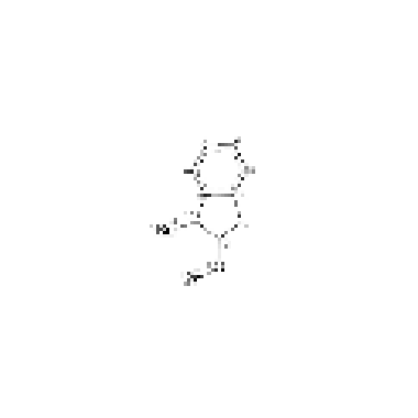 CC(C)OC1Cc2ccccc2C1C(C)(C)C